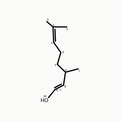 CC(C)=CCCC(C)/C=C/O